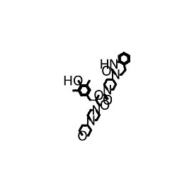 Cc1cc(C[C@@H](OC(=O)N2CCC(N3CCc4ccccc4NC3=O)CC2)C(=O)N2CCN(C3CCOCC3)CC2)cc(C)c1O